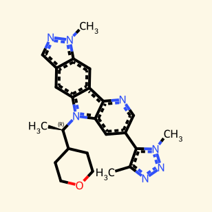 Cc1nnn(C)c1-c1cnc2c3cc4c(cnn4C)cc3n([C@H](C)C3CCOCC3)c2c1